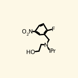 CC(C)N(CCO)Cc1cc([N+](=O)[O-])ccc1F